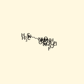 CN(C)CCCCCCNC(=O)Nc1snc(OCc2c(F)ccc(Cl)c2F)c1C(N)=O